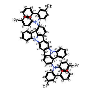 CCc1ccc(N(c2ccc(C(C)C)cc2)c2ccc3c4cc5c(cc4n4c6ccccc6c2c34)c2ccc(N(c3ccc(C(C)C)cc3)c3ccc(CC)cc3-c3ccccc3)c3c4ccccc4n5c23)c(-c2ccccc2)c1